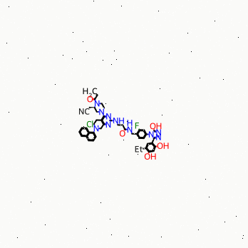 C=CC(=O)N1CCN(c2nc(NCCC(=O)NCc3ccc(-n4c(O)nnc4-c4cc(CC)c(O)cc4O)cc3F)nc3c2CCN(c2cccc4cccc(Cl)c24)C3)C[C@H]1CC#N